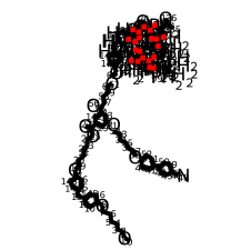 COCCCCCCOc1ccc(Cc2ccc(OCCCCCCOC(=O)c3cc(OCCCCCCOc4ccc(-c5ccc(C#N)cc5)cc4)cc(C(=O)CCCCOCOc4ccc(Cc5ccc(O[CH2][Co](=[O])[c]6cc(OP(P(P(P(P)P)P(P)P)P(P(P)P)P(P(P)P)P(P)P)P(P(P(P(P)P)P(P)P)P(P(P)P)P(P)P)P(P(P(P)P)P(P)P)P(P(P)P)P(P)P)cc(C(C)=O)c6)cc5)cc4)c3)cc2)cc1